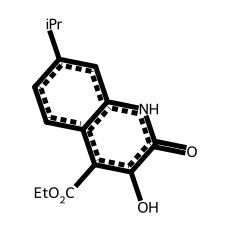 CCOC(=O)c1c(O)c(=O)[nH]c2cc(C(C)C)ccc12